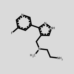 CN(CCN)Cc1c[nH]nc1-c1cncc(F)c1